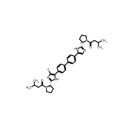 CC(C)CC(=O)N1CCC[C@H]1c1ncc(-c2ccc(-c3ccc(-c4[nH]c([C@@H]5CCCN5C(=O)CC(C)C)nc4F)cc3)cc2)[nH]1